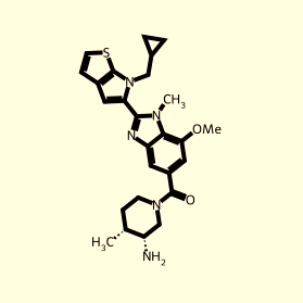 COc1cc(C(=O)N2CC[C@@H](C)[C@@H](N)C2)cc2nc(-c3cc4ccsc4n3CC3CC3)n(C)c12